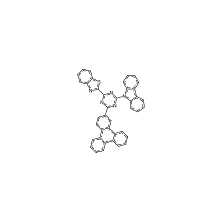 c1ccc2sc(-c3nc(-c4ccc5c6ccccc6c6ccccc6c5c4)nc(-n4c5ccccc5c5ccccc54)n3)nc2c1